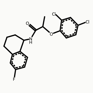 CC(Oc1ccc(Cl)cc1Cl)C(=O)NC1CCCc2cc(F)ccc21